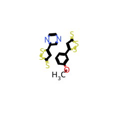 COc1cccc(-c2cc(=S)ss2)c1.S=c1cc(-c2cnccn2)ss1